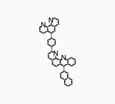 c1ccc2cc(-c3c4ccccc4nc4c3ccc3ccc(-c5ccc(-c6cc7cccnc7c7ncccc67)cc5)nc34)ccc2c1